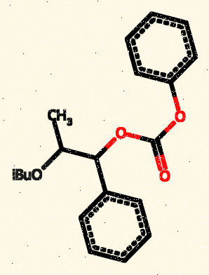 CC(C)COC(C)C(OC(=O)Oc1ccccc1)c1ccccc1